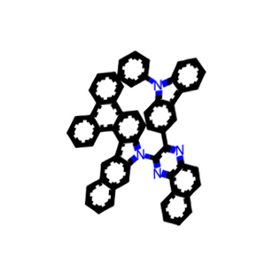 c1ccc(-n2c3ccccc3c3cc(-c4nc5ccc6ccccc6c5nc4-n4c5cc6ccccc6cc5c5c6c7ccccc7c7ccccc7c6ccc54)ccc32)cc1